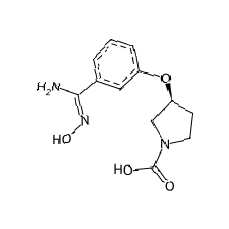 NC(=NO)c1cccc(O[C@H]2CCN(C(=O)O)C2)c1